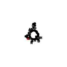 CC(C)C[C@H]1C(=O)N[C@H](C#N)C[C@@H]2C[C@@H](C/C=C/C[C@H](NC(=O)OC(C)(C)C)C(=O)N1C)NC2=O